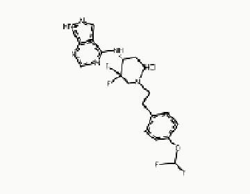 Cl.FC(F)Oc1ccc(CCN2CC[C@@H](Nc3ncnc4[nH]ncc34)C(F)(F)C2)cc1